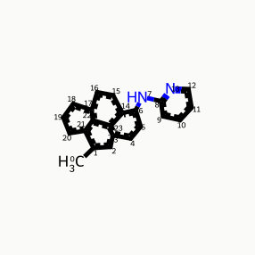 Cc1cc2ccc(Nc3ccccn3)c3ccc4cccc1c4c23